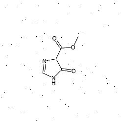 COC(=O)C1N=CNC1=O